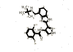 CC(C)(C)NCC1=CCCc2[nH]c(-c3n[nH]cc3NC(=O)c3c(F)cccc3F)nc21